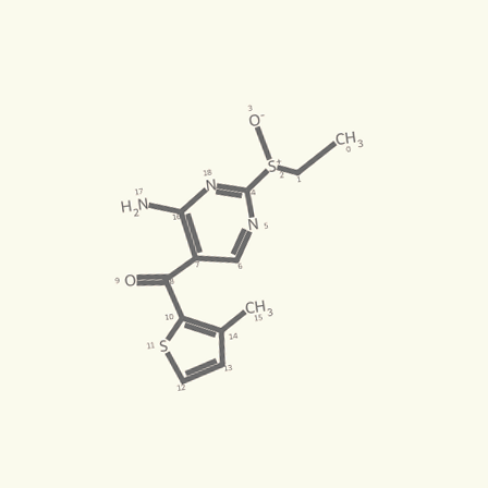 CC[S+]([O-])c1ncc(C(=O)c2sccc2C)c(N)n1